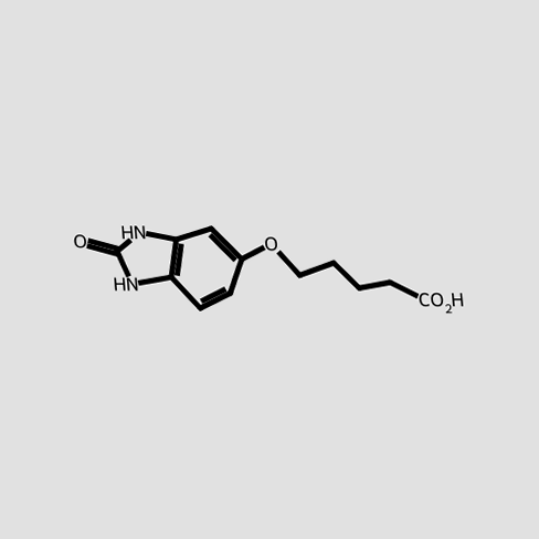 O=C(O)CCCCOc1ccc2[nH]c(=O)[nH]c2c1